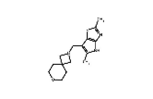 Cc1nc2[nH]c(C)c(CN3CC4(CCOCC4)C3)c2s1